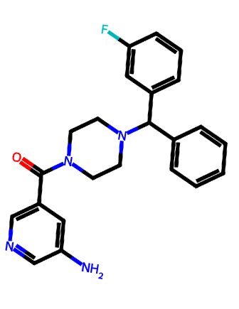 Nc1cncc(C(=O)N2CCN(C(c3ccccc3)c3cccc(F)c3)CC2)c1